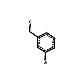 ClCc1[c]ccc(Br)c1